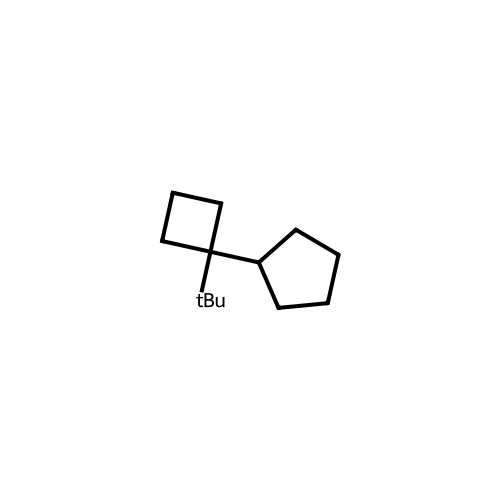 CC(C)(C)C1(C2CCCC2)CCC1